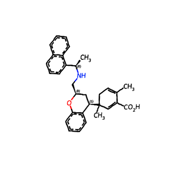 CC1=CCC(C)([C@@H]2C[C@H](CN[C@H](C)c3cccc4ccccc34)Oc3ccccc32)C=C1C(=O)O